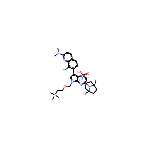 CN(C)c1ccc2ccc(-c3cn(COCC[Si](C)(C)C)c4nc(N5[C@@H]6CC[C@H]5C[C@@H](NC(=O)O)C6)cnc34)c(Cl)c2n1